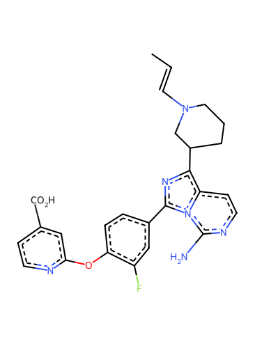 CC=CN1CCCC(c2nc(-c3ccc(Oc4cc(C(=O)O)ccn4)c(F)c3)n3c(N)nccc23)C1